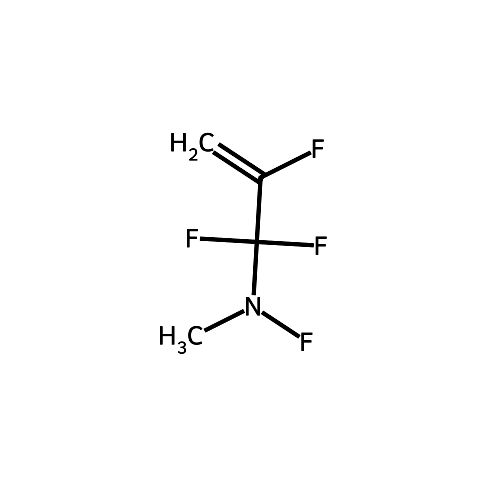 C=C(F)C(F)(F)N(C)F